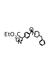 CCOC(=O)C1ON=CC1c1ccc(C(=O)N2CCC(Cc3ccccc3)CC2)cc1